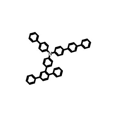 c1ccc(-c2ccc(-c3ccc(N(c4ccc(-c5ccccc5)cc4)c4ccc(-c5cc(-c6ccccc6)ccc5-c5ccccc5)cc4)cc3)cc2)cc1